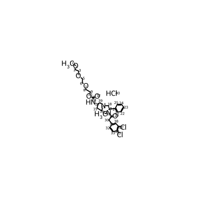 COCCOCCOCCOC(=O)N[C@H]1CCN(C[C@@H](c2ccccc2)N(C)C(=O)Cc2ccc(Cl)c(Cl)c2)C1.Cl